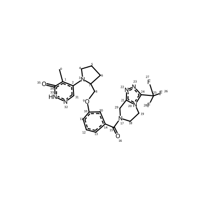 Cc1c(N2CCCC2COc2cccc(C(=O)N3CCn4c(nnc4C(F)(F)F)C3)c2)cn[nH]c1=O